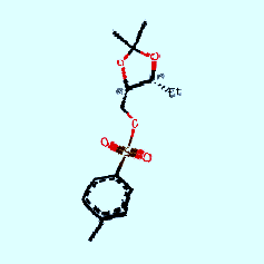 CC[C@H]1OC(C)(C)O[C@@H]1COS(=O)(=O)c1ccc(C)cc1